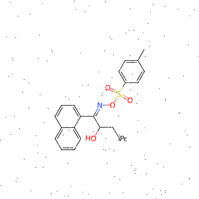 Cc1ccc(S(=O)(=O)O/N=C(/c2cccc3ccccc23)C(O)CC(C)C)cc1